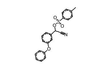 Cc1ccc(S(=O)(=O)OC(C#N)c2cccc(Oc3ccccc3)c2)cc1